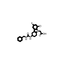 O=C(O)Cn1c2c(c3cc(F)cc(Cl)c31)CC(NC(=O)NCc1ccccc1)CC2